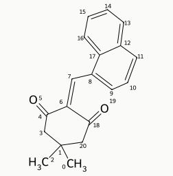 CC1(C)CC(=O)C(=Cc2cccc3ccccc23)C(=O)C1